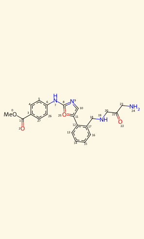 COC(=O)c1ccc(Nc2ncc(-c3ccccc3CNCC(=O)CN)o2)cc1